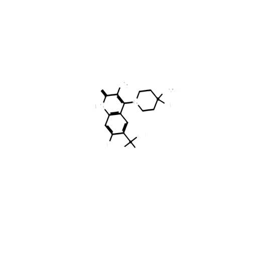 COC1(C)CCN(c2c(C#N)c(=O)[nH]c3cc(F)c(C(C)(C)O)cc23)CC1